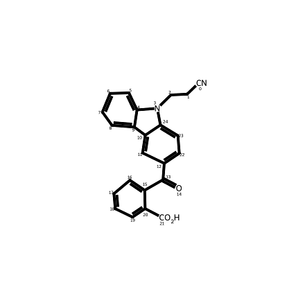 N#CCCn1c2ccccc2c2cc(C(=O)c3ccccc3C(=O)O)ccc21